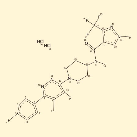 Cc1c(-c2ccc(F)cc2)nnc(N2CCC(N(C)C(=O)c3cn(C)nc3C(F)(F)F)CC2)c1C.Cl.Cl